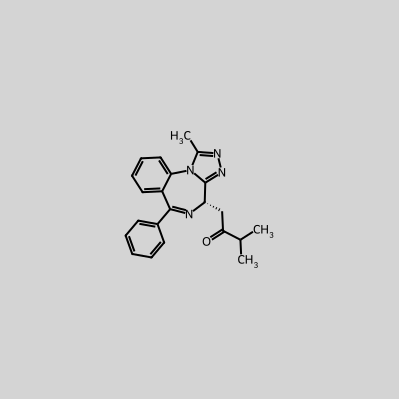 Cc1nnc2n1-c1ccccc1C(c1ccccc1)=N[C@H]2CC(=O)C(C)C